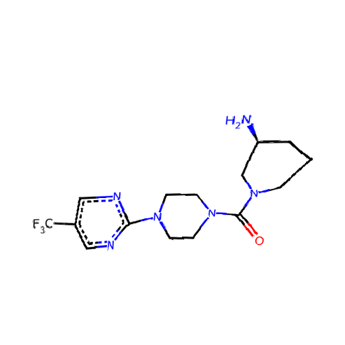 N[C@H]1CCCN(C(=O)N2CCN(c3ncc(C(F)(F)F)cn3)CC2)C1